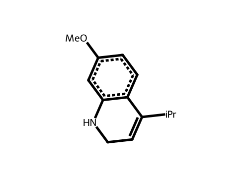 COc1ccc2c(c1)NCC=C2C(C)C